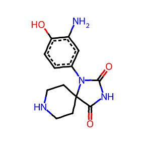 Nc1cc(N2C(=O)NC(=O)C23CCNCC3)ccc1O